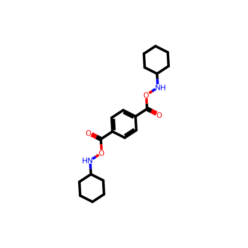 O=C(ONC1CCCCC1)c1ccc(C(=O)ONC2CCCCC2)cc1